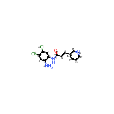 Nc1cc(Cl)c(Cl)cc1NC(=O)/C=C/c1cccnc1